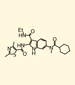 CCNC(=O)c1c(NC(=O)c2sc(C)nc2C)[nH]c2cc(N(C)C(=O)C3CCCCC3)ccc12